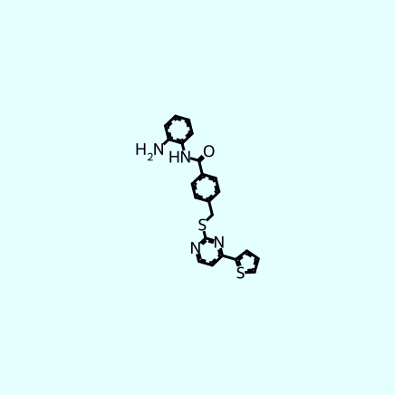 Nc1ccccc1NC(=O)c1ccc(CSc2nccc(-c3cccs3)n2)cc1